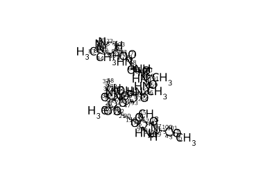 COc1ccc(C2=CN3C(=O)c4cc(OC)c(OCCCCCOc5cc6c(cc5OC)C(=O)N5CC7(CC7)C[C@H]5C(O)N6C(=O)OCc5ccc(NC(=O)[C@H](C)NC(=O)[C@@H](NC(=O)CNC(=O)CNC(=O)OCC6[C@H]7CCc8nnn(C(C)C)c8CC[C@@H]67)C(C)C)cc5)cc4NC[C@@H]3C2)cc1